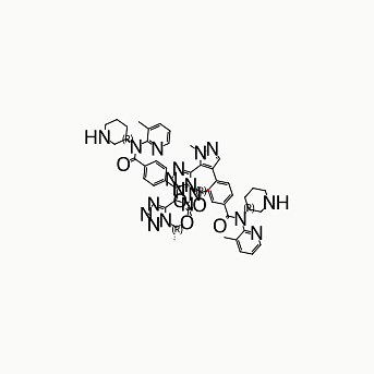 Cc1cccnc1N(C(=O)c1ccc(-c2cnn(C)c2-c2nnnn2[C@@H](C)OC(=O)O[C@H](C)n2nnnc2-c2c(-c3ccc(C(=O)N(c4ncccc4C)[C@@H]4CCCNC4)cc3)cnn2C)cc1)[C@@H]1CCCNC1